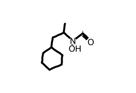 CC(CC1CCCCC1)N(O)[C]=O